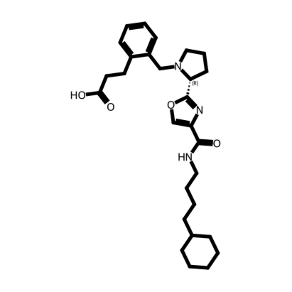 O=C(O)CCc1ccccc1CN1CCC[C@@H]1c1nc(C(=O)NCCCCC2CCCCC2)co1